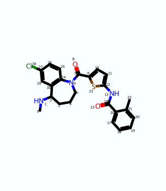 CNC1CCCN(C(=O)c2ccc(NC(=O)c3ccccc3C)s2)c2ccc(Cl)cc21